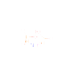 O=[PH]([O-])O.O=[PH]([O-])[O-].[N+3]